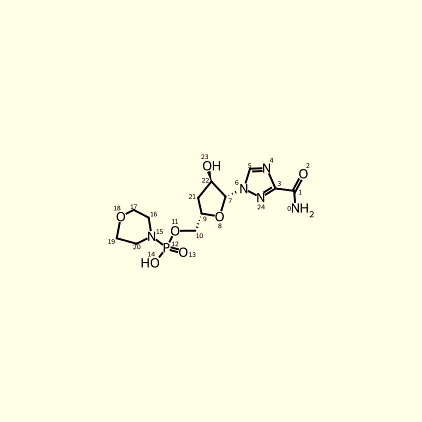 NC(=O)c1ncn([C@@H]2O[C@H](COP(=O)(O)N3CCOCC3)C[C@H]2O)n1